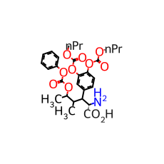 CCCOC(=O)Oc1ccc(C(C(C)C(C)OC(=O)Oc2ccccc2)[C@H](N)C(=O)O)cc1OC(=O)OCCC